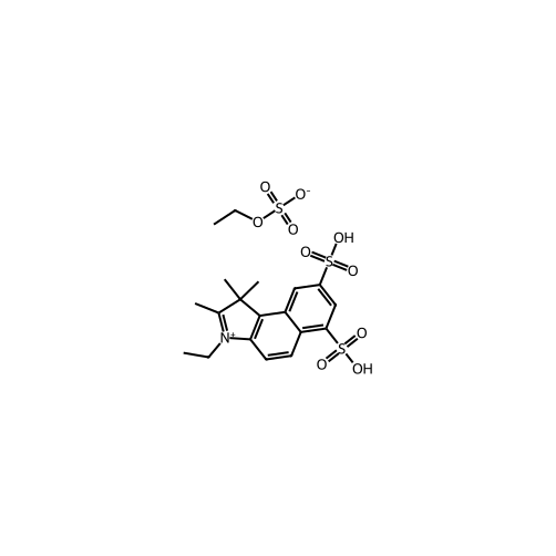 CCOS(=O)(=O)[O-].CC[N+]1=C(C)C(C)(C)c2c1ccc1c(S(=O)(=O)O)cc(S(=O)(=O)O)cc21